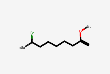 C=C(CCCCCC(Br)CCCC)OCC